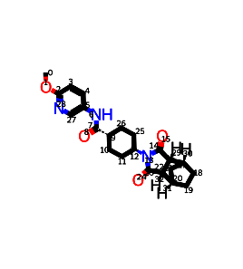 COc1ccc(NC(=O)[C@H]2CC[C@H](N3C(=O)[C@@H]4[C@@H]5CC[C@@H](C5)[C@@H]4C3=O)CC2)cn1